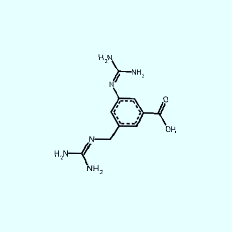 NC(N)=NCc1cc(N=C(N)N)cc(C(=O)O)c1